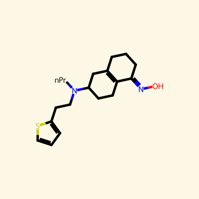 CCCN(CCc1cccs1)C1CCC2=C(CCCC2=NO)C1